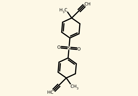 C#CC1(C)C=CC(S(=O)(=O)C2=CCC(C)(C#C)C=C2)=CC1